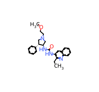 CCc1nc2ccccc2cc1NC(=O)N[C@@H]1CN(CCOC)C[C@H]1c1ccccc1